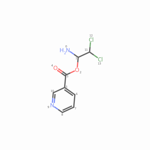 NC(OC(=O)c1cccnc1)C(Cl)Cl